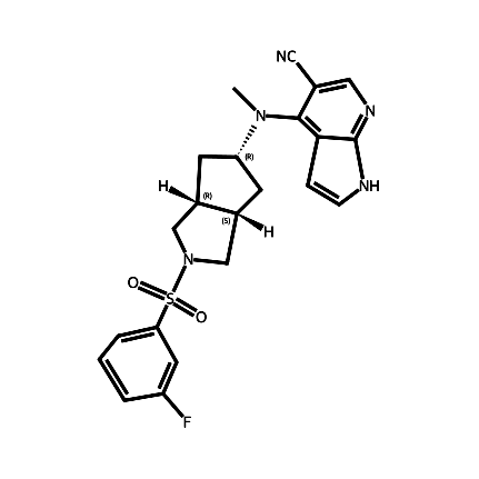 CN(c1c(C#N)cnc2[nH]ccc12)[C@@H]1C[C@@H]2CN(S(=O)(=O)c3cccc(F)c3)C[C@@H]2C1